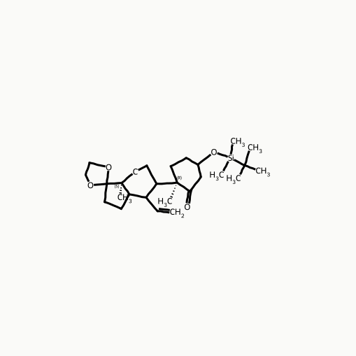 C=CC1C([C@@]2(C)CCC(O[Si](C)(C)C(C)(C)C)CC2=O)CC[C@@]2(C)C1CCC21OCCO1